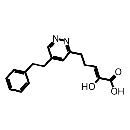 O=C(O)C(O)=CCCc1cc(CCc2ccccc2)cnn1